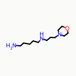 NCCCCCNCCCN1CCOCC1